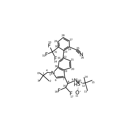 CC(C)(C)Cn1cc(C(N[S@@+]([O-])C(C)(C)C)C(F)F)c2ccc(-c3c(C#N)cccc3C(F)(F)F)cc21